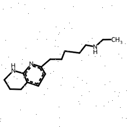 CCNCCCCCc1ccc2c(n1)NCCC2